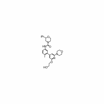 Cc1ccc(NC(=O)N2CCOC(C(C)C)C2)cc1-c1cc(OCCO)nc(N2CCOCC2)c1